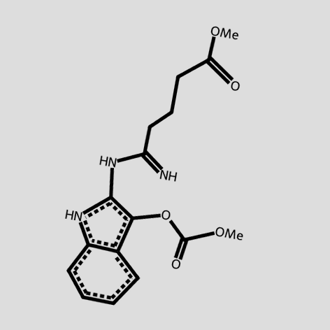 COC(=O)CCCC(=N)Nc1[nH]c2ccccc2c1OC(=O)OC